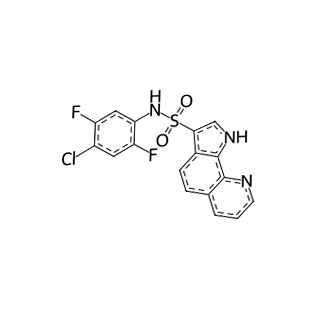 O=S(=O)(Nc1cc(F)c(Cl)cc1F)c1c[nH]c2c1ccc1cccnc12